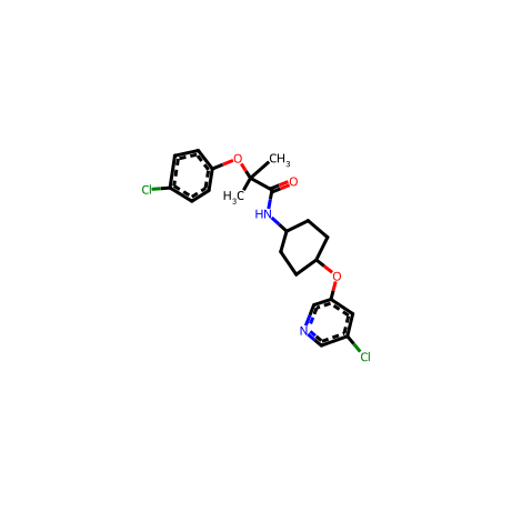 CC(C)(Oc1ccc(Cl)cc1)C(=O)NC1CCC(Oc2cncc(Cl)c2)CC1